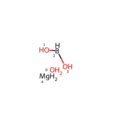 O.OBO.[MgH2]